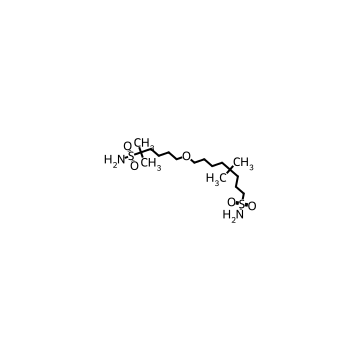 CC(C)(CCCCOCCCCC(C)(C)S(N)(=O)=O)CCCS(N)(=O)=O